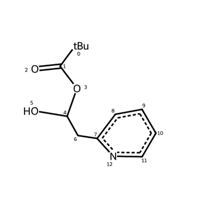 CC(C)(C)C(=O)OC(O)Cc1ccccn1